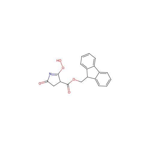 O=C1CC(C(=O)OCC2c3ccccc3-c3ccccc32)C(OO)=N1